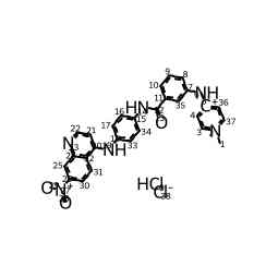 Cl.Cn1cc[c+](Nc2cccc(C(=O)Nc3ccc(Nc4ccnc5cc([N+](=O)[O-])ccc45)cc3)c2)cc1.[Cl-]